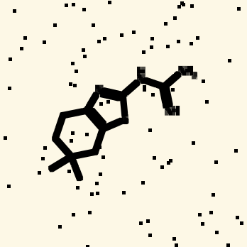 CC1(C)CCc2nc(NC(=N)N)sc2C1